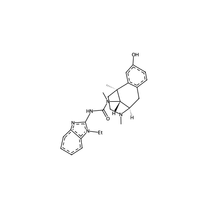 CCn1c(NC(=O)N(C)[C@H]2[C@H]3Cc4ccc(O)cc4[C@]2(C)CCN3C)nc2ccccc21